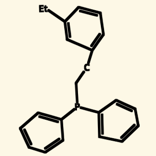 CCc1cccc(CCP(c2ccccc2)c2ccccc2)c1